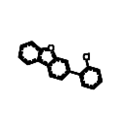 Clc1ccccc1-c1ccc2c(c1)oc1ccccc12